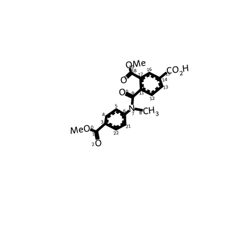 COC(=O)c1ccc(N(C)C(=O)c2ccc(C(=O)O)cc2C(=O)OC)cc1